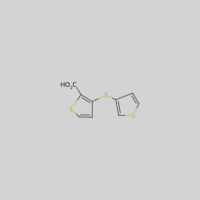 O=C(O)c1sccc1Sc1ccsc1